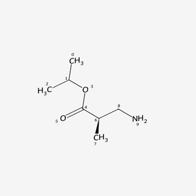 CC(C)OC(=O)[C@H](C)CN